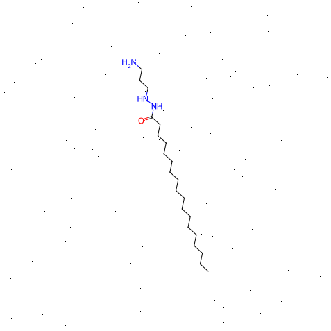 CCCCCCCCCCCCCCCCCC(=O)NNCCCN